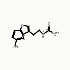 CCCc1ccc2occ(CCNC(=O)NC)c2c1